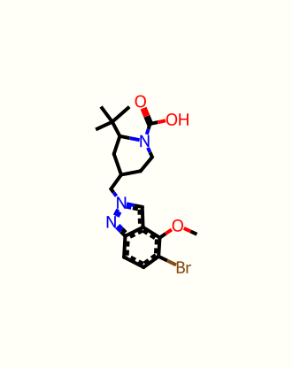 COc1c(Br)ccc2nn(CC3CCN(C(=O)O)C(C(C)(C)C)C3)cc12